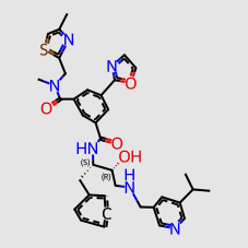 Cc1csc(CN(C)C(=O)c2cc(C(=O)N[C@@H](Cc3ccccc3)[C@H](O)CNCc3cncc(C(C)C)c3)cc(-c3ncco3)c2)n1